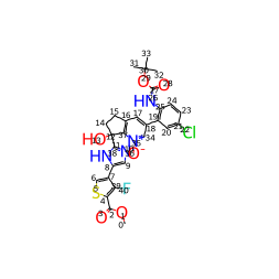 COC(=O)c1scc(-c2cnc(C3(O)CCc4cc(-c5cc(Cl)ccc5NC(=O)OC(C)(C)C)c[n+]([O-])c43)[nH]2)c1F